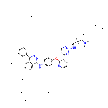 CN(C)CC(C)(C)CNc1nccc(-c2cccnc2Oc2ccc(Nc3nnc(-c4ccccc4)c4ccccc34)cc2)n1